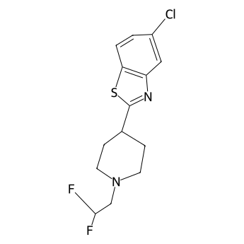 FC(F)CN1CCC(c2nc3cc(Cl)ccc3s2)CC1